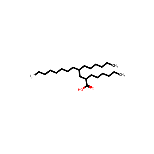 CCCCCCCCC(CCCCCC)CC(CCCCCC)C(=O)O